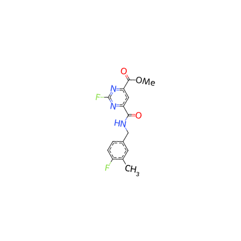 COC(=O)c1cc(C(=O)NCc2ccc(F)c(C)c2)nc(F)n1